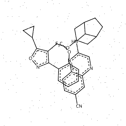 N#Cc1ccc2nc(NC3C4CCC3CC(OCc3c(-c5ccccc5OC(F)(F)F)noc3C3CC3)C4)cnc2c1